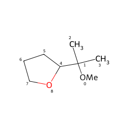 COC(C)(C)C1CCCO1